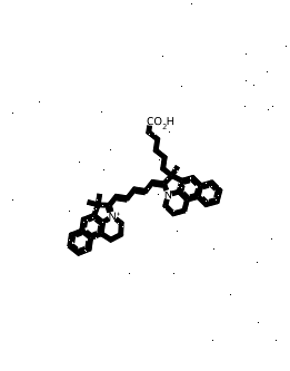 CC1(C)C(/C=C/C=C/C=C2\N3CCCc4c3c(cc3ccccc43)C2(C)CCCCCC(=O)O)=[N+]2CCCc3c2c1cc1ccccc31